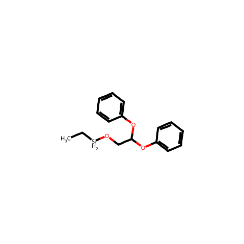 CC[SiH2]OCC(Oc1ccccc1)Oc1ccccc1